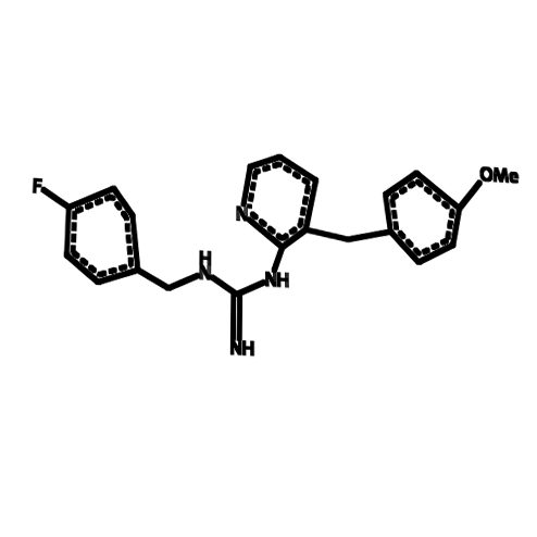 COc1ccc(Cc2cccnc2NC(=N)NCc2ccc(F)cc2)cc1